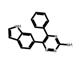 Nc1nnc(-c2ccc3cc[nH]c3c2)c(-c2ccccc2)n1